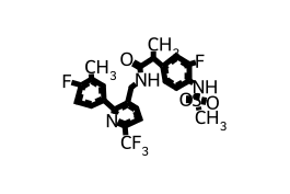 Cc1cc(-c2nc(C(F)(F)F)ccc2CNC(=O)C(C)c2ccc(NS(C)(=O)=O)c(F)c2)ccc1F